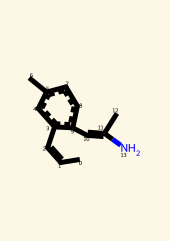 C/C=C\c1cc(C)ccc1/C=C(\C)N